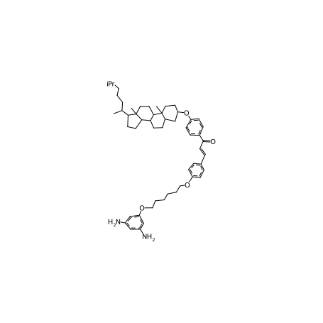 CC(C)CCCC(C)C1CCC2C3CCC4CC(Oc5ccc(C(=O)/C=C/c6ccc(OCCCCCCOc7cc(N)cc(N)c7)cc6)cc5)CCC4(C)C3CCC12C